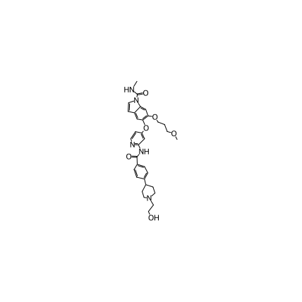 CNC(=O)n1ccc2cc(Oc3ccnc(NC(=O)c4ccc(C5CCN(CCO)CC5)cc4)c3)c(OCCCOC)cc21